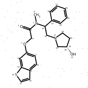 CN(C(=O)COc1ccc2ccsc2c1)C(CN1CC[C@H](O)C1)c1ccccc1